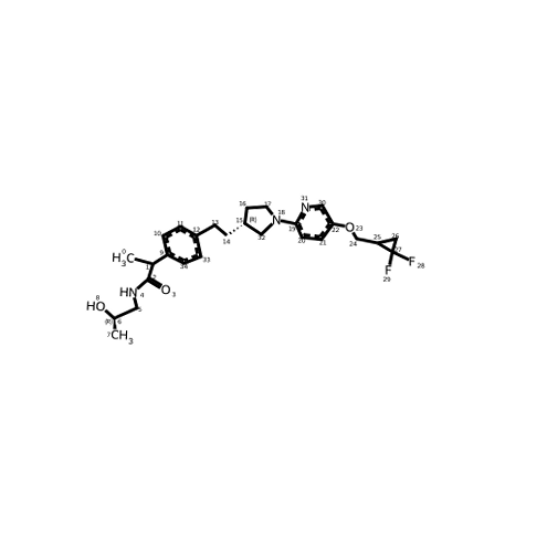 CC(C(=O)NC[C@@H](C)O)c1ccc(CC[C@@H]2CCN(c3ccc(OCC4CC4(F)F)cn3)C2)cc1